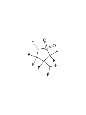 O=S1(=O)C(F)C(F)(F)C(F)(C(F)F)C1(F)F